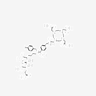 O=C(O)CC[C@@H](NC(=O)N[C@H](CCCCN(Cc1ccc(I)cc1)C(O)c1ccc(CNC(=O)CN2CCN(CC(=O)O)CCN(CC(=O)O)CCN(CC(=O)O)CC2)cc1)C(=O)O)C(=O)O